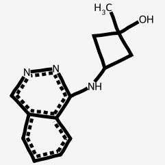 CC1(O)CC(Nc2nncc3ccccc23)C1